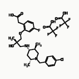 C[C@@H]1C[C@H](NC[C@](C)(O)COc2cc(F)ccc2CC(=O)O)[C@@H](C)CN1Cc1ccc(Cl)cc1.O=C(O)C(F)(F)F.O=C(O)C(F)(F)F